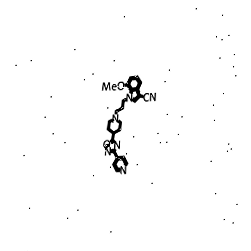 COc1cccc2c(C#N)cn(CCCN3CCC(c4nc(-c5ccncc5)no4)CC3)c12